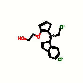 C[CH]=[Zr+2]([C]1=C(OCCO)C=CC1)[CH]1C=Cc2ccccc21.[Cl-].[Cl-]